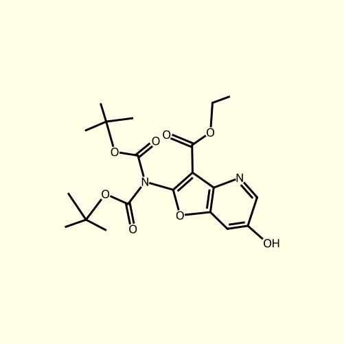 CCOC(=O)c1c(N(C(=O)OC(C)(C)C)C(=O)OC(C)(C)C)oc2cc(O)cnc12